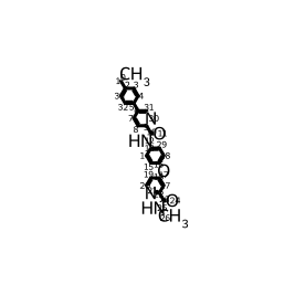 CCc1ccc(-c2ccc(C(=O)Nc3ccc(Oc4ccnc(C(=O)NC)c4)cc3)nc2)cc1